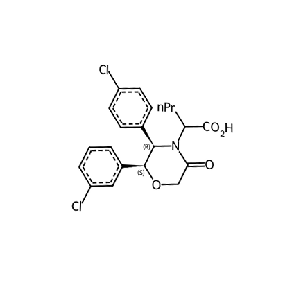 CCCC(C(=O)O)N1C(=O)CO[C@@H](c2cccc(Cl)c2)[C@H]1c1ccc(Cl)cc1